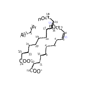 CC(C)[CH2][Al+2].CCCCCCCC/C=C\CCCCCCCC(=O)[O-].CCCCCCCC/C=C\CCCCCCCC(=O)[O-]